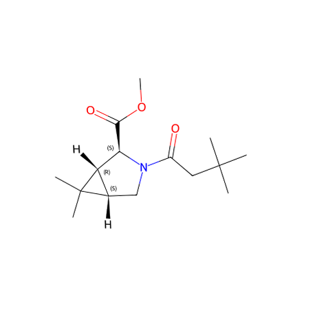 COC(=O)[C@@H]1[C@@H]2[C@H](CN1C(=O)CC(C)(C)C)C2(C)C